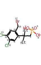 CCC(CC)(CP(=O)(O)O)c1cc(Cl)c(Cl)cc1CBr